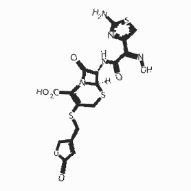 Nc1nc(/C(=N/O)C(=O)N[C@@H]2C(=O)N3C(C(=O)O)=C(SCC4=CC(=O)OC4)CS[C@H]23)cs1